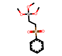 CO[Si](CCS(=O)(=O)c1ccccc1)(OC)OC